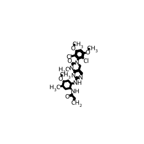 C=CC(=O)NC1CC(C)C(OC)CC1Nc1ncc2c(n1)N(C)C(=O)N(c1c(Cl)c(OC)cc(OC)c1Cl)C2